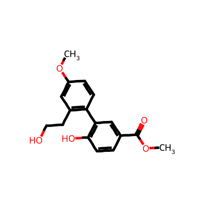 COC(=O)c1ccc(O)c(-c2ccc(OC)cc2CCO)c1